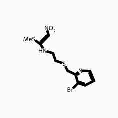 CSC(=C[N+](=O)[O-])NCCSCc1ncccc1Br